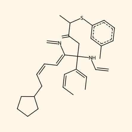 C=CNC(CC(=C)C(C)Sc1cccc(C)c1)(/C(=C/C=C\CC1CCCC1)N=C)C(/C=C\C)=C/C